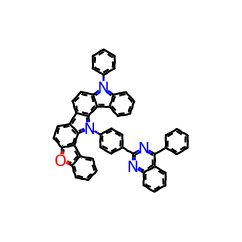 c1ccc(-c2nc(-c3ccc(-n4c5c(ccc6oc7ccccc7c65)c5ccc6c(c7ccccc7n6-c6ccccc6)c54)cc3)nc3ccccc23)cc1